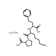 NCCCCC(NC(CCc1ccccc1)C(=O)O)C(=O)N1CCCC1C(=O)O.O.O